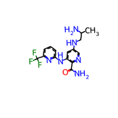 CC(N)CNc1cnc(C(N)=O)c(Nc2cccc(C(F)(F)F)n2)c1